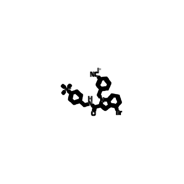 C[N+](C)(C)c1ccc(CNC(=O)c2cc3c(Br)cccc3n2Cc2cccc(C#N)c2)cc1.[I-]